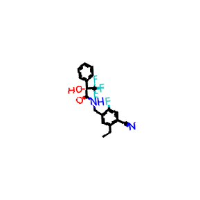 CCc1cc(CNC(=O)[C@](O)(c2ccccc2)C(F)(F)F)c(F)cc1C#N